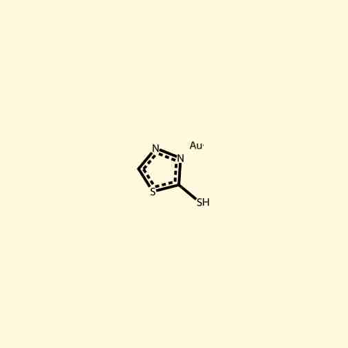 Sc1nncs1.[Au]